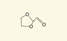 O=C[C]1OCCO1